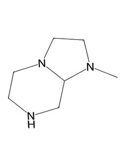 CN1CCN2CCNCC12